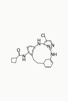 O=C(Nc1ccc2cc1CCC1C=CC=C(C1)Nc1ncc(Cl)c(n1)N2)C1CCC1